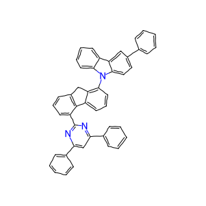 c1ccc(-c2ccc3c(c2)c2ccccc2n3-c2cccc3c2Cc2cccc(-c4nc(-c5ccccc5)cc(-c5ccccc5)n4)c2-3)cc1